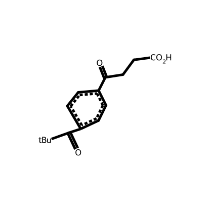 CC(C)(C)C(=O)c1ccc(C(=O)CCC(=O)O)cc1